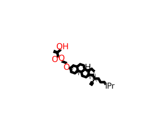 C#C[C@H](CCCC(C)C)[C@H]1CC[C@H]2C3CCC4C[C@@H](OCCOC(=O)C(=C)CO)CC[C@]4(C)C3CC[C@]12C